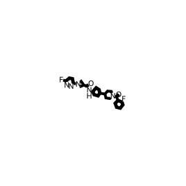 O=C(Nc1ccc(C2CCN(C(=O)c3ccccc3F)CC2)cc1)C1CN(c2ccc(F)nn2)C1